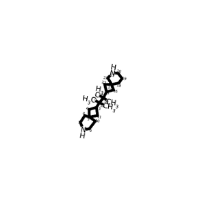 CC(C)(C1CC2(CCNCC2)C1)C(C)(C)C1CC2(CCCNC2)C1